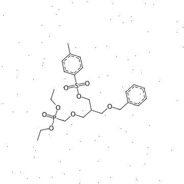 CCOP(=O)(COCC(COCc1ccccc1)COS(=O)(=O)c1ccc(C)cc1)OCC